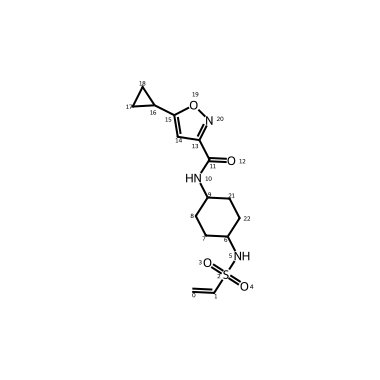 C=CS(=O)(=O)NC1CCC(NC(=O)c2cc(C3CC3)on2)CC1